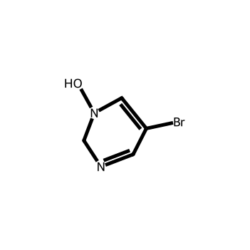 ON1C=C(Br)C=NC1